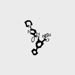 CC(C)(C)OC(=O)c1ccc(-c2ccccc2)cc1NC(=O)c1ccc(N2CCCCC2)nc1